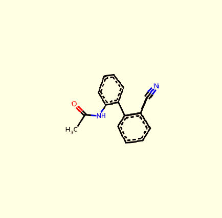 CC(=O)Nc1ccccc1-c1ccccc1C#N